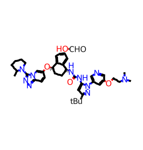 CC1CCCCN1c1nnc2ccc(O[C@@H]3CC[C@H](NC(=O)Nc4cc(C(C)(C)C)nn4-c4cncc(OCCN(C)C)c4)c4ccccc43)cn12.O=CO